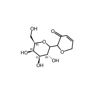 O=C1C=CCOC1C1O[C@H](CO)[C@H](O)[C@H](O)[C@H]1O